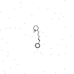 CN1CCCCC1CC[CH]/C=C/c1ccccc1